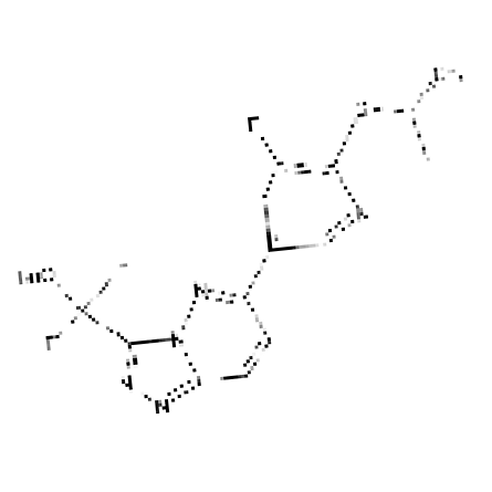 CC(C)COC(F)(F)c1nnc2ccc(-c3cnc(O[C@@H](C)C(F)(F)F)c(F)c3)nn12